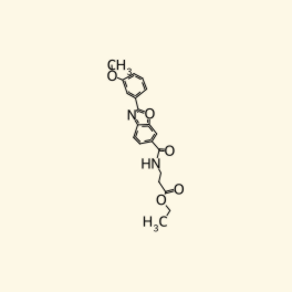 CCOC(=O)CCNC(=O)c1ccc2nc(-c3cccc(OC)c3)oc2c1